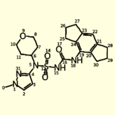 Cn1ccc(N(C2CCOCC2)S(=O)(=O)NC(=O)Nc2c3c(cc4c2CCC4)CCC3)n1